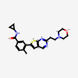 Cc1ccc(C(=O)NC2CC2)cc1-c1cc2cnc(CCN3CCOCC3)nc2s1